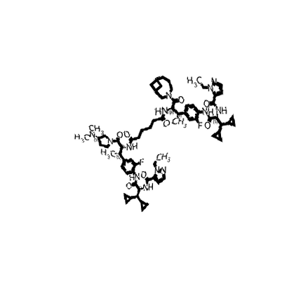 CCn1nccc1C(=O)N[C@H](C(=O)Nc1ccc([C@H](C)[C@@H](NC(=O)CCCCC(=O)N[C@@H](C(=O)N2CC[C@H](N(C)C)C2)[C@@H](C)c2ccc(NC(=O)[C@@H](NC(=O)c3ccnn3CC)C(C3CC3)C3CC3)c(F)c2)C(=O)N2CCCC3CC(C3)C2)cc1F)C(C1CC1)C1CC1